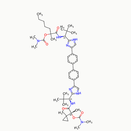 CCCCCC(C)(OC(=O)N(C)C)C(=O)N[C@H](c1nc(-c2ccc(-c3ccc(-c4c[nH]c([C@@H](NC(=O)[C@](C)(OC(=O)N(C)C)C5(C)CC5)C(C)(C)C)n4)cc3)cc2)c[nH]1)C(C)(C)C